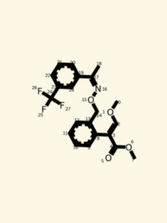 CO/C=C(/C(=O)OC)c1ccccc1CON=C(C)c1cccc(C(F)(F)F)c1